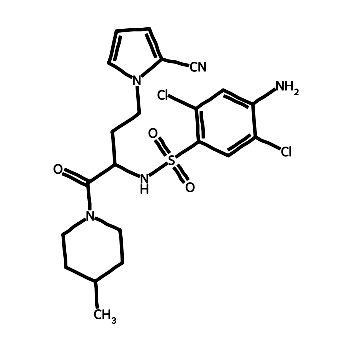 CC1CCN(C(=O)C(CCn2cccc2C#N)NS(=O)(=O)c2cc(Cl)c(N)cc2Cl)CC1